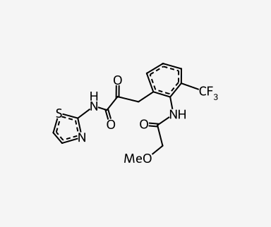 COCC(=O)Nc1c(CC(=O)C(=O)Nc2nccs2)cccc1C(F)(F)F